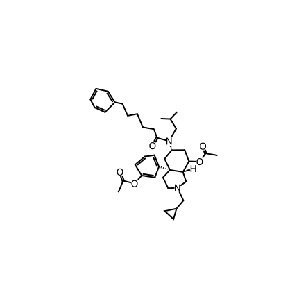 CC(=O)Oc1cccc([C@@]23CCN(CC4CC4)C[C@H]2C(OC(C)=O)C[C@@H](N(CC(C)C)C(=O)CCCCCc2ccccc2)C3)c1